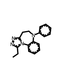 CCc1nnc2n1-c1ccccc1N(c1ccccc1)CC2